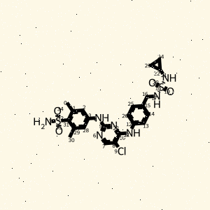 Cc1cc(Nc2ncc(Cl)c(Nc3ccc(CNS(=O)(=O)NC4CC4)cc3)n2)cc(C)c1S(N)(=O)=O